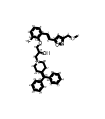 COCc1cc(/C=C/c2cccc(F)c2OCC(O)CN2CCC(=C(c3ccccc3)c3ccccc3)CC2)on1